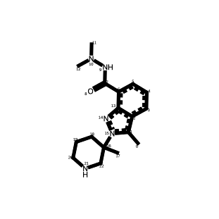 Cc1c2cccc(C(=O)NN(C)C)c2nn1C1(C)CCCNC1